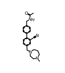 CC(=O)NCc1ccc(-c2ccc(CN3CCCN(C)CC3)cc2C#N)cc1